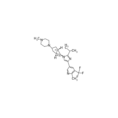 Cc1ncc(-c2cn([C@H]3[C@@H]4CC(N5CCN(C)CC5)C[C@@H]43)c(C(C)C)n2)cc1C(F)(F)F